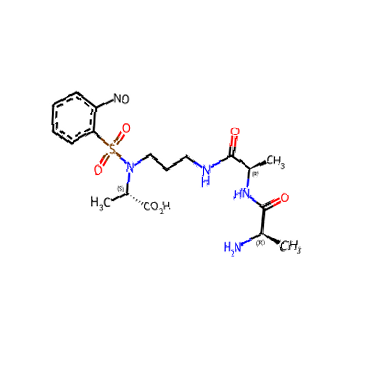 C[C@@H](N)C(=O)N[C@H](C)C(=O)NCCCN([C@@H](C)C(=O)O)S(=O)(=O)c1ccccc1N=O